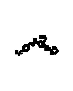 Cc1ccc(COC(=O)N2CC[C@H](CNc3ncccn3)[C@H](F)C2)cc1.Cl